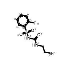 CC(C)CCNC(=O)NS(=O)(=O)c1ccccc1F